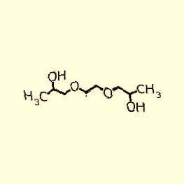 CC(O)CO[CH]COCC(C)O